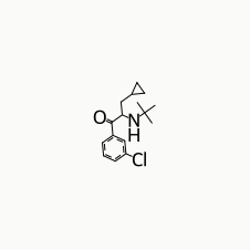 CC(C)(C)NC(CC1CC1)C(=O)c1cccc(Cl)c1